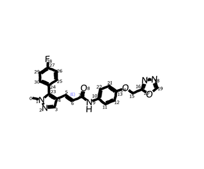 Cn1ncc(/C=C/C(=O)Nc2ccc(OCc3nnco3)cc2)c1-c1ccc(F)cc1